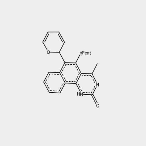 CCCCCc1c(C2C=CC=CO2)c2ccccc2c2[nH]c(=O)nc(C)c12